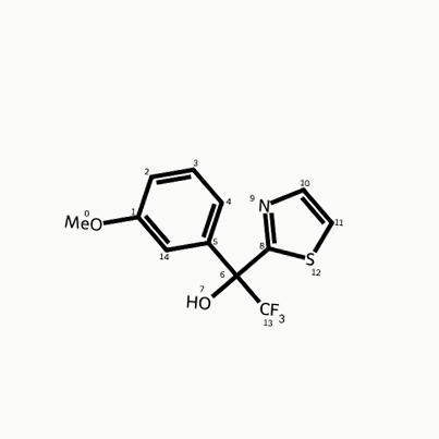 COc1cccc(C(O)(c2nccs2)C(F)(F)F)c1